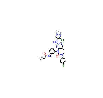 C=CC(=O)Nc1cccc(N2C(=O)N(c3ccc(F)cc3)CCc3cnc(Nc4cn(C)nc4Cl)nc32)c1